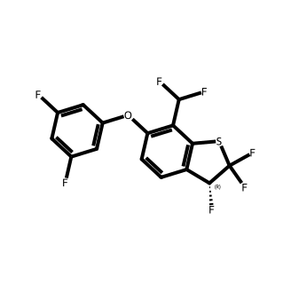 Fc1cc(F)cc(Oc2ccc3c(c2C(F)F)SC(F)(F)[C@@H]3F)c1